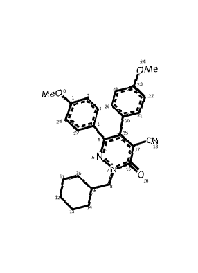 COc1ccc(-c2nn(CC3CCCCC3)c(=O)c(C#N)c2-c2ccc(OC)cc2)cc1